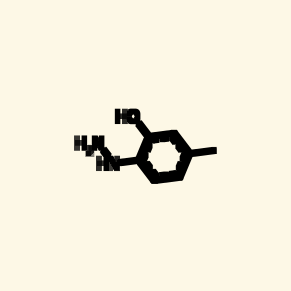 Cc1ccc(NN)c(O)c1